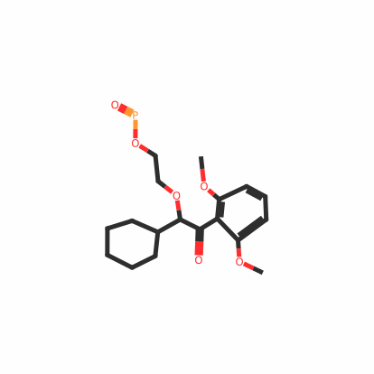 COc1cccc(OC)c1C(=O)C(OCCOP=O)C1CCCCC1